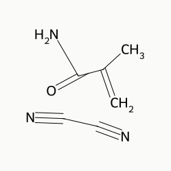 C=C(C)C(N)=O.N#CC#N